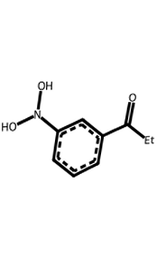 CCC(=O)c1cccc(N(O)O)c1